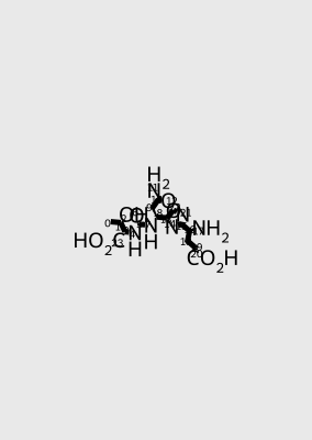 CC(O)C(NC(=O)N[C@@H](CC(N)=O)c1nc([C@@H](N)CCC(=O)O)no1)C(=O)O